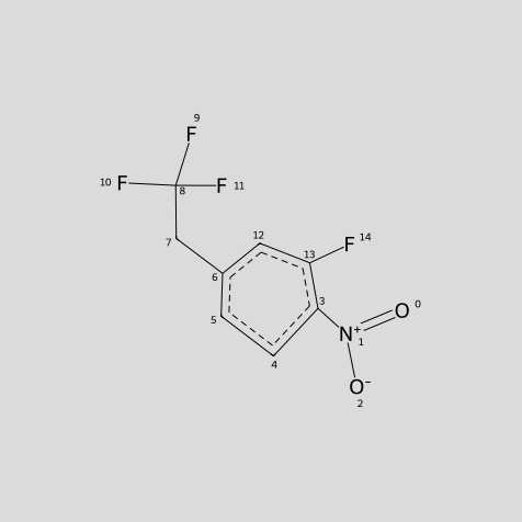 O=[N+]([O-])c1ccc(CC(F)(F)F)cc1F